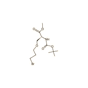 COC(=O)[C@H](COCCCBr)NC(=O)OC(C)(C)C